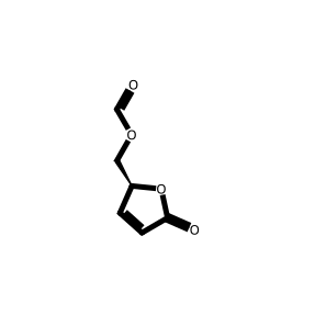 O=COC[C@@H]1C=CC(=O)O1